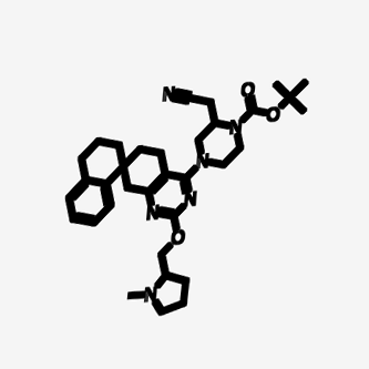 CN1CCCC1COc1nc2c(c(N3CCN(C(=O)OC(C)(C)C)C(CC#N)C3)n1)CCC1(CCCc3ccccc31)C2